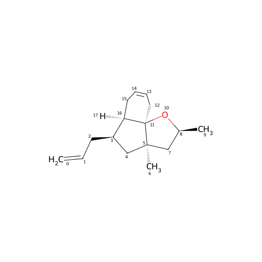 C=CC[C@@H]1C[C@]2(C)C[C@H](C)O[C@@]23CC=CC[C@H]13